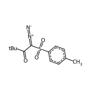 Cc1ccc(S(=O)(=O)C(=[N+]=[N-])C(=O)C(C)(C)C)cc1